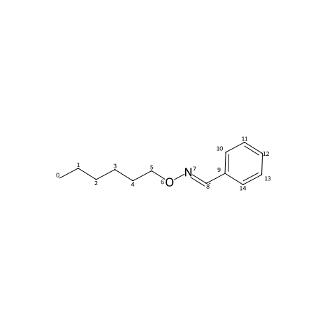 CCCCCCO/N=[C]/c1ccccc1